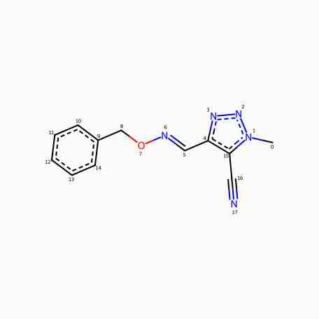 Cn1nnc(/C=N/OCc2ccccc2)c1C#N